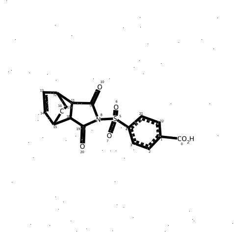 O=C(O)c1ccc(S(=O)(=O)N2C(=O)C3C4C=CC(CC4)C3C2=O)cc1